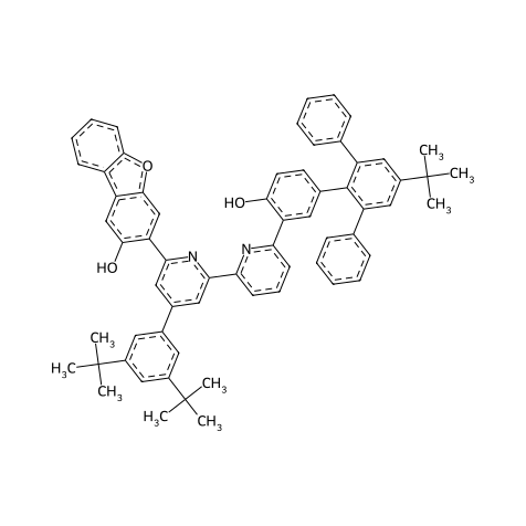 CC(C)(C)c1cc(-c2cc(-c3cccc(-c4cc(-c5c(-c6ccccc6)cc(C(C)(C)C)cc5-c5ccccc5)ccc4O)n3)nc(-c3cc4oc5ccccc5c4cc3O)c2)cc(C(C)(C)C)c1